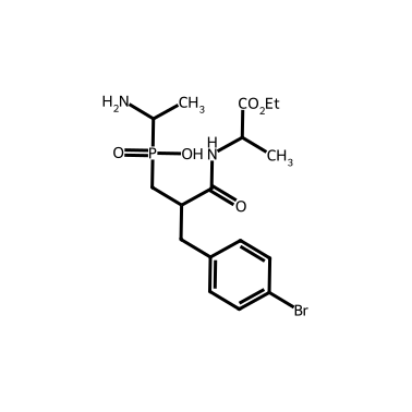 CCOC(=O)C(C)NC(=O)C(Cc1ccc(Br)cc1)CP(=O)(O)C(C)N